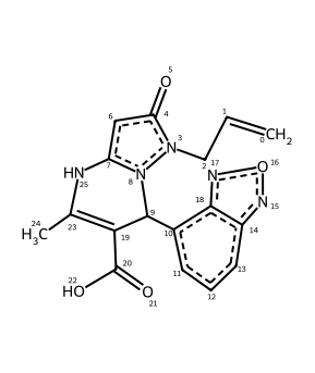 C=CCn1c(=O)cc2n1C(c1cccc3nonc13)C(C(=O)O)=C(C)N2